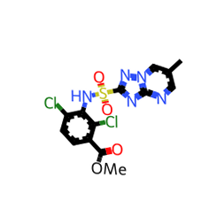 COC(=O)c1ccc(Cl)c(NS(=O)(=O)c2nc3ncc(C)cn3n2)c1Cl